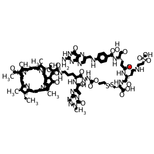 CC[C@H]1c2cc3[nH]c4c(c3C)C(=O)C(C(=O)OC)c4c3nc(cc4[nH]c(cc(n2)[C@@H]1C)c(C(C)=O)c4C)[C@@H](C)[C@@H]3CCC(=O)NCCCC(NC(=O)c1cn2c(=O)n(C)nnc2n1)C(=O)NNC(=O)OCCSSC[C@H](NC(=O)[C@H](CC(=O)NCCS(=O)(=O)O)NC(=O)CC[C@H](NC(=O)c1ccc(NCc2cnc3nc(N)[nH]c(=O)c3n2)cc1)C(=O)O)C(=O)O